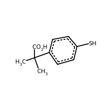 CC(C)(C(=O)O)c1ccc(S)cc1